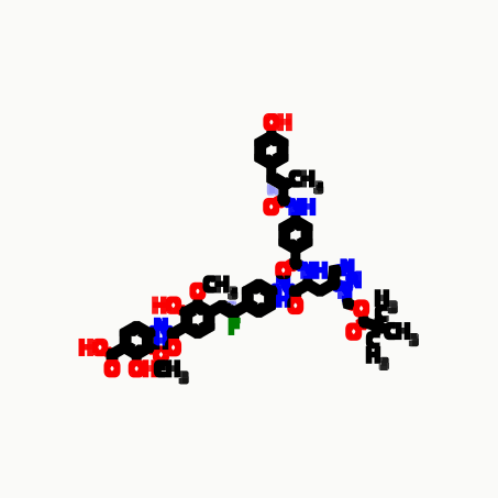 COc1c(/C=C(\F)c2ccc(NC(=O)C(Cc3cnnn3COC(=O)C(C)(C)C)NC(=O)c3ccc(NC(=O)/C(C)=C/c4ccc(O)cc4)cc3)cc2)ccc(C(=O)Nc2ccc(C(=O)O)c(O)c2OC)c1O